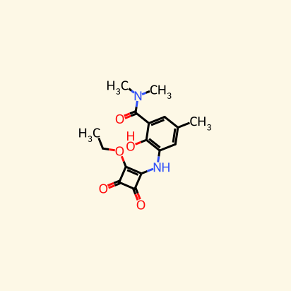 CCOc1c(Nc2cc(C)cc(C(=O)N(C)C)c2O)c(=O)c1=O